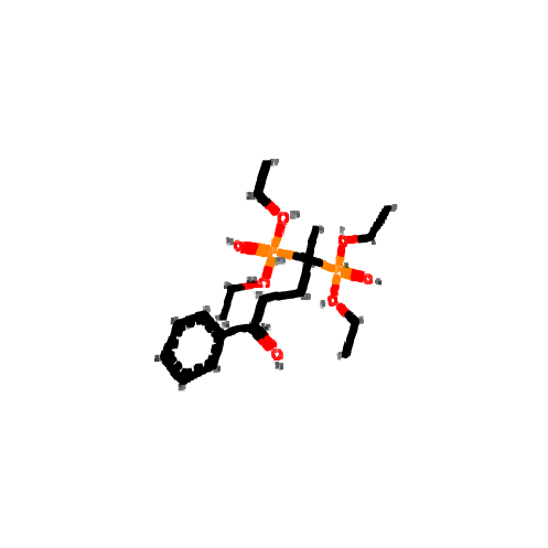 CCOP(=O)(OCC)C(C)(CCC(=O)c1ccccc1)P(=O)(OCC)OCC